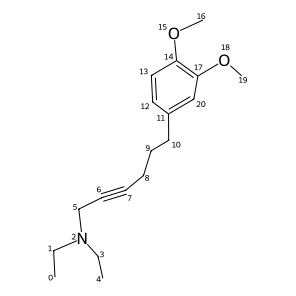 CCN(CC)CC#CCCCc1ccc(OC)c(OC)c1